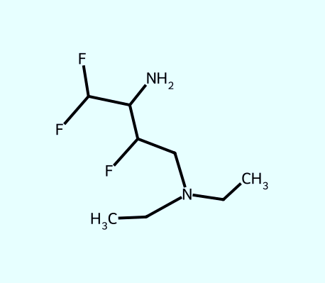 CCN(CC)CC(F)C(N)C(F)F